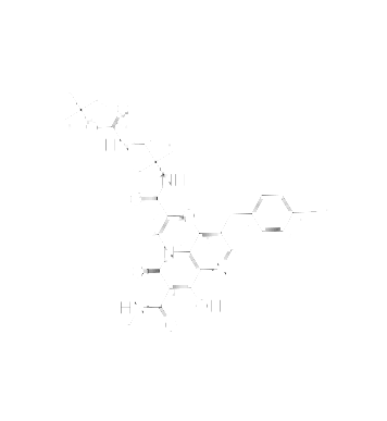 CNC(=O)c1c(O)c2ncc(Cc3ccc(F)cc3)c3c2n(c1=O)C=C(C(=O)NC(C)(C)CNC(=O)OC(C)(C)C)O3